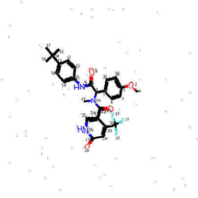 COc1ccc(C(C(=O)Nc2ccc(C(C)(C)C)cc2)N(C)C(=O)c2c[nH]c(=O)cc2C(F)(F)F)cc1